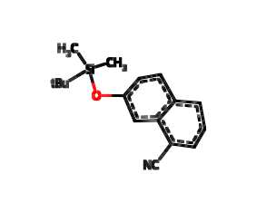 CC(C)(C)[Si](C)(C)Oc1ccc2cccc(C#N)c2c1